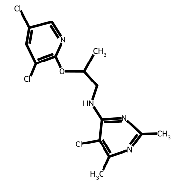 Cc1nc(C)c(Cl)c(NCC(C)Oc2ncc(Cl)cc2Cl)n1